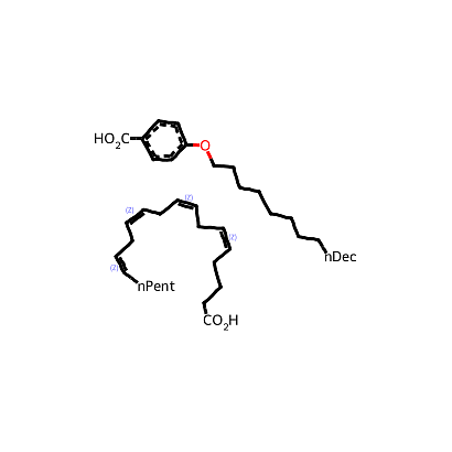 CCCCC/C=C\C/C=C\C/C=C\C/C=C\CCCC(=O)O.CCCCCCCCCCCCCCCCCCOc1ccc(C(=O)O)cc1